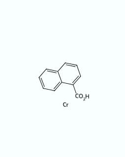 O=C(O)c1cccc2ccccc12.[Cr]